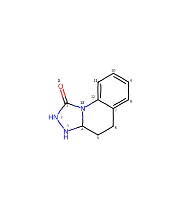 O=C1NNC2CCc3ccccc3N12